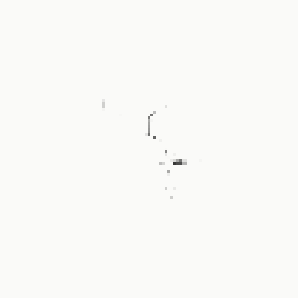 O=C(O)[C@H](O)COP(=O)(O)O